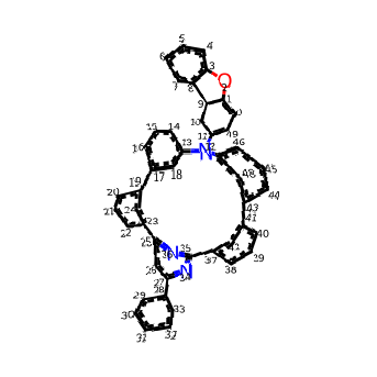 C1=C2Oc3ccccc3C2CC(N2c3cccc(c3)-c3cccc(c3)-c3cc(-c4ccccc4)nc(n3)-c3cccc(c3)-c3cccc2c3)=C1